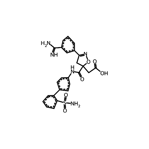 N=C(N)c1cccc(C2=NOC(CC(=O)O)(C(=O)Nc3ccc(-c4ccccc4S(N)(=O)=O)cc3)C2)c1